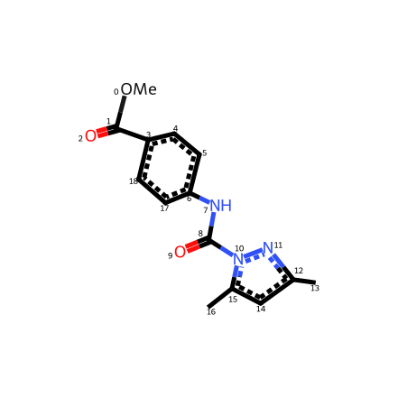 COC(=O)c1ccc(NC(=O)n2nc(C)cc2C)cc1